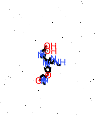 CCNc1cc2c(cn1)c(-c1cnn(C[C@@H](O)CO)c1)nn2C1CCC(Oc2ccc(=O)n(CC)n2)CC1